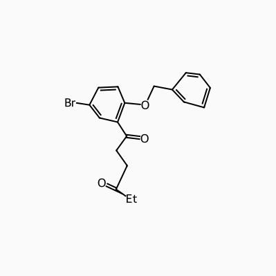 CCC(=O)CCC(=O)c1cc(Br)ccc1OCc1ccccc1